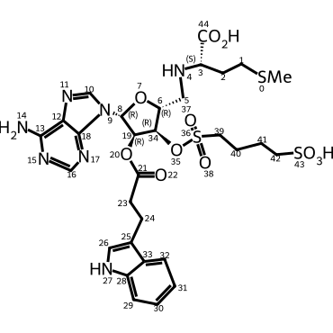 CSCC[C@H](NC[C@H]1O[C@@H](n2cnc3c(N)ncnc32)[C@H](OC(=O)CCc2c[nH]c3ccccc23)[C@@H]1OS(=O)(=O)CCCCS(=O)(=O)O)C(=O)O